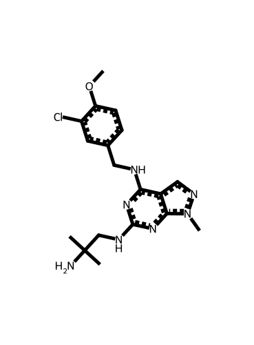 COc1ccc(CNc2nc(NCC(C)(C)N)nc3c2cnn3C)cc1Cl